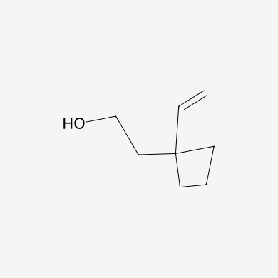 C=CC1(CCO)CCC1